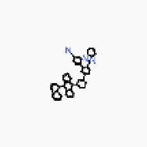 N#Cc1ccc2c(c1)N1C(=NC3C=CC=CC31)c1ccc(C3=CC(c4c5ccccc5c(-c5cccc6ccccc56)c5ccccc45)=CCC3)cc1-2